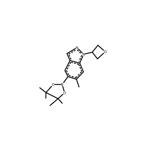 Cc1cc2c(cnn2C2COC2)cc1B1OC(C)(C)C(C)(C)O1